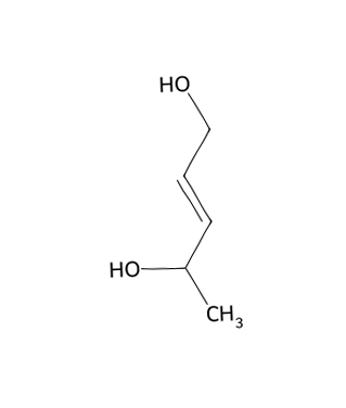 CC(O)C=CCO